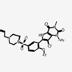 C=CCN1CCN(S(=O)(=O)c2ccc(OCC)c(-c3[nH]c4c(=O)n(C)c(=O)n(CCC)c4c3Cl)c2)CC1